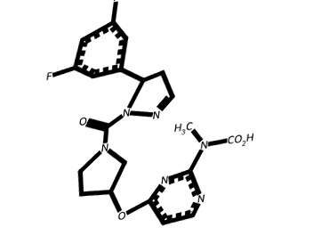 CN(C(=O)O)c1nccc(OC2CCN(C(=O)N3N=CCC3c3cc(F)cc(F)c3)C2)n1